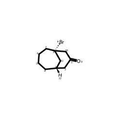 O=C1C[C@@H]2CCCC[C@@](Br)(C1)C2